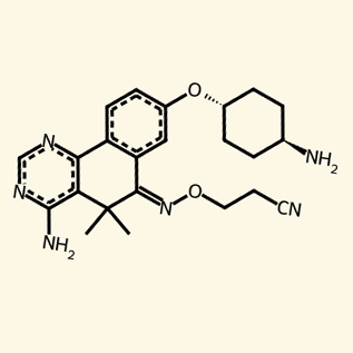 CC1(C)/C(=N/OCCC#N)c2cc(O[C@H]3CC[C@H](N)CC3)ccc2-c2ncnc(N)c21